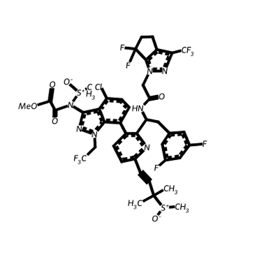 COC(=O)C(=O)N(c1nn(CC(F)(F)F)c2c(-c3ccc(C#CC(C)(C)[S+](C)[O-])nc3C(Cc3cc(F)cc(F)c3)NC(=O)Cn3nc(C(F)(F)F)c4c3C(F)(F)CC4)ccc(Cl)c12)[S+](C)[O-]